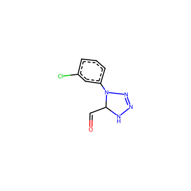 O=CC1NN=NN1c1cccc(Cl)c1